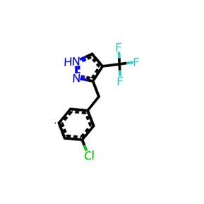 FC(F)(F)c1c[nH]nc1Cc1c[c]cc(Cl)c1